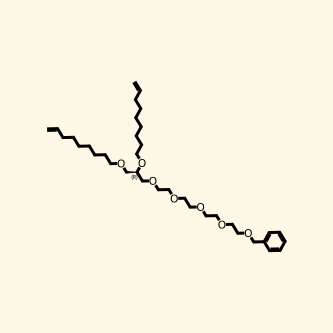 C=CCCCCCCCOC[C@H](COCCOCCOCCOCCOCc1ccccc1)OCCCCCCCC=C